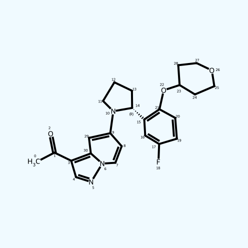 CC(=O)c1cnn2ccc(N3CCC[C@@H]3c3cc(F)ccc3OC3CCOCC3)cc12